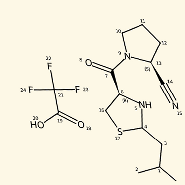 CC(C)CC1N[C@H](C(=O)N2CCC[C@H]2C#N)CS1.O=C(O)C(F)(F)F